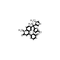 Cn1cncc1C(N)(c1ccc2c(c1)c(-c1cccc(Cl)c1)cc(=O)n2C)c1ccc(Cl)s1